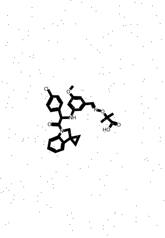 COc1cc(C=NOC(C)(C)C(=O)O)cc(NC(C(=O)N2CC3(CC3)c3ccccc32)c2ccc(Cl)cc2)c1